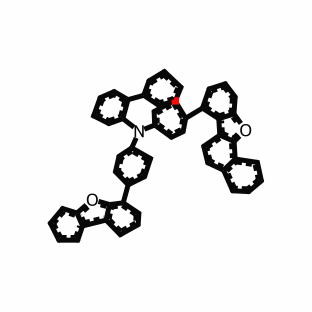 c1ccc(-c2ccccc2N(c2ccc(-c3cccc4c3oc3ccccc34)cc2)c2ccc(-c3cccc4oc5c6ccccc6ccc5c34)cc2)cc1